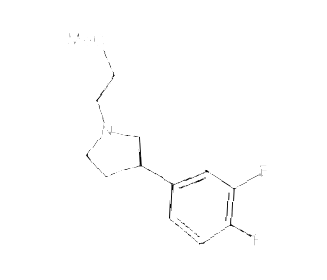 COCCN1CCC(c2ccc(F)c(F)c2)C1